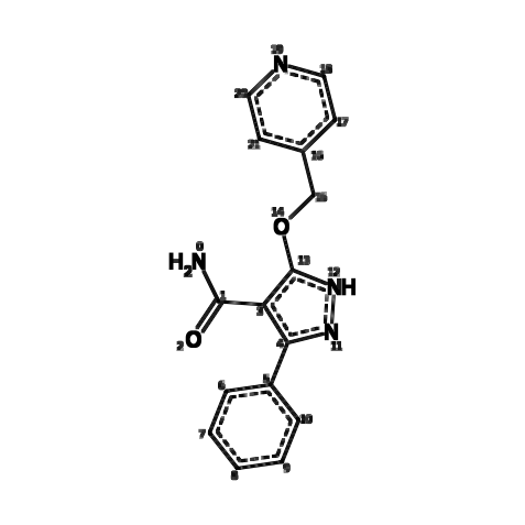 NC(=O)c1c(-c2ccccc2)n[nH]c1OCc1ccncc1